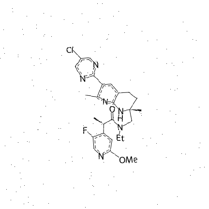 CCN(C[C@@]1(C)CCc2cc(-c3ncc(Cl)cn3)c(C)nc2N1)C(=O)[C@H](C)c1cc(OC)ncc1F